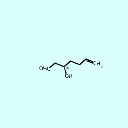 C=CCC[C@@H](O)CC=O